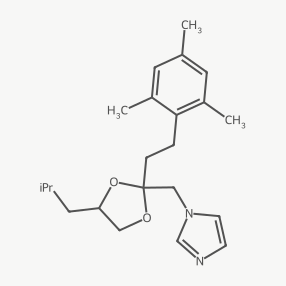 Cc1cc(C)c(CCC2(Cn3ccnc3)OCC(CC(C)C)O2)c(C)c1